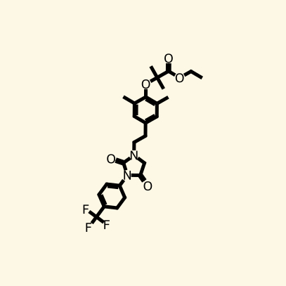 CCOC(=O)C(C)(C)Oc1c(C)cc(CCN2CC(=O)N(C3=CC=C(C(F)(F)F)CC3)C2=O)cc1C